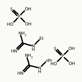 CCCNC(=N)N.CCNC(=N)N.OP(O)(O)=S.OP(O)(O)=S